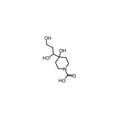 O=C(O)N1CCC(O)(C(O)CCO)CC1